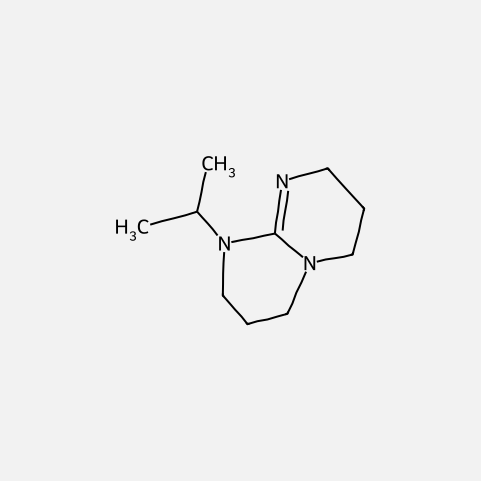 CC(C)N1CCCN2CCCN=C21